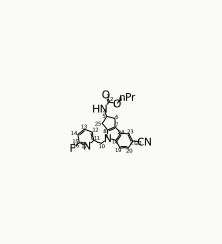 CCCOC(=O)NC1Cc2c(n(Cc3cccc(F)n3)c3ccc(C#N)cc23)C1